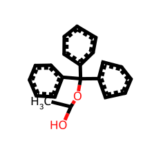 CC(O)OC(c1ccccc1)(c1ccccc1)c1ccccc1